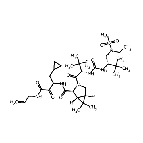 C=CCNC(=O)C(=O)C(CC1CC1)NC(=O)[C@@H]1[C@@H]2[C@H](CN1C(=O)[C@@H](NC(=O)N[C@H](CN(CC)S(C)(=O)=O)C(C)(C)C)C(C)(C)C)C2(C)C